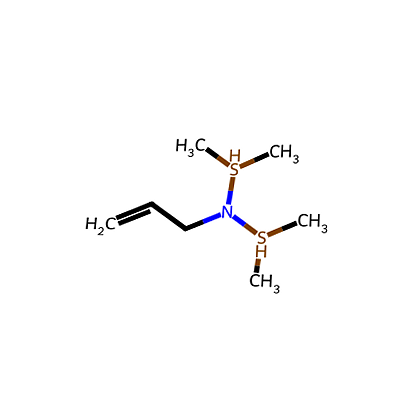 C=CCN([SH](C)C)[SH](C)C